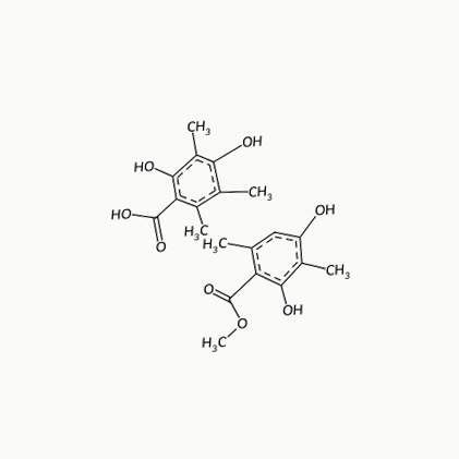 COC(=O)c1c(C)cc(O)c(C)c1O.Cc1c(C)c(C(=O)O)c(O)c(C)c1O